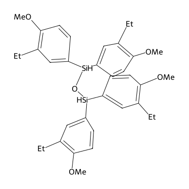 CCc1cc([SiH](O[SiH](c2ccc(OC)c(CC)c2)c2ccc(OC)c(CC)c2)c2ccc(OC)c(CC)c2)ccc1OC